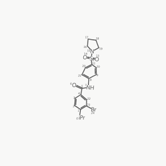 CC(C)c1ccc(C(=O)Nc2ccc(S(=O)(=O)N3CCCC3)cc2)cc1Br